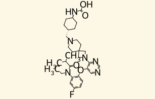 CCN(C(=O)C(C)C)c1cc(F)ccc1Oc1cncnc1N1CC2(CCN(C[C@H]3CC[C@H](NC(=O)O)CC3)CC2)C1